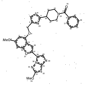 COc1cc(OCc2csc(C3CCN(C(=O)c4ccccc4)CC3)n2)c2cc(-c3cnc4sc(OC)nn34)oc2c1